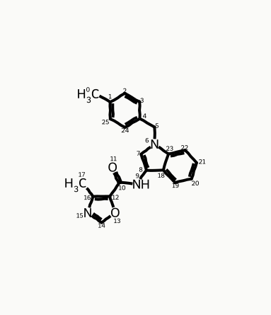 Cc1ccc(Cn2cc(NC(=O)c3ocnc3C)c3ccccc32)cc1